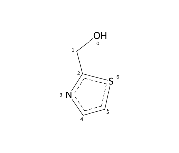 OCc1nc[c]s1